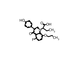 CCCOc1ccc(F)c2c(=O)c(-c3ccc(O)cc3)cn(C(CC)C(=O)O)c12